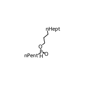 CCCCCCCCCCO[PH](=O)CCCCC